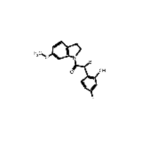 Cc1cc(F)ccc1C(Br)C(=O)N1CCc2ccc(OC(F)(F)F)cc21